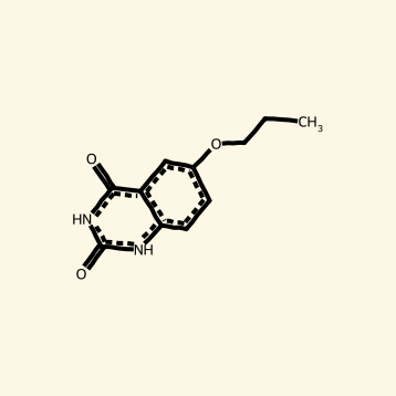 CCCOc1ccc2[nH]c(=O)[nH]c(=O)c2c1